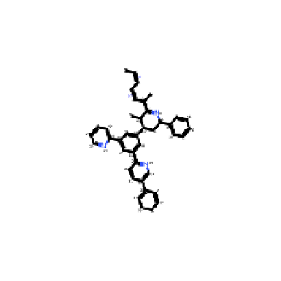 C/C=C\C=C/C(C)C1=NC(c2ccccc2)CC(c2cc(-c3ccccn3)cc(-c3ccc(C4=CCCC=C4)cn3)c2)C1C